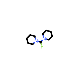 FC(N1CCCCC1)N1CCCCC1